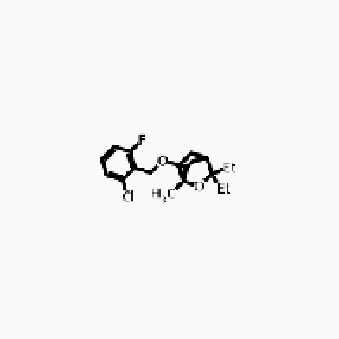 CCC1(CC)OC2(C)CCC1CC2OCc1c(F)cccc1Cl